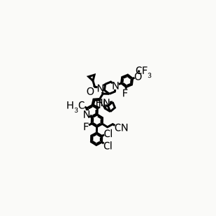 Cc1nc2c(F)c(-c3cccc(Cl)c3Cl)c(CCC#N)cc2c2c1cc(C1C3CC(CN(c4ccc(OC(F)(F)F)cc4F)C3)N1C(=O)C1CC1)n2C1C2CNC1C2